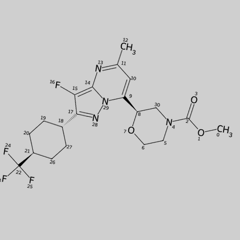 COC(=O)N1CCO[C@@H](c2cc(C)nc3c(F)c([C@H]4CC[C@H](C(F)(F)F)CC4)nn23)C1